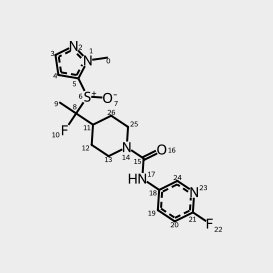 Cn1nccc1[S+]([O-])C(C)(F)C1CCN(C(=O)Nc2ccc(F)nc2)CC1